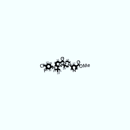 COC(=O)c1cncc(N2CCN(C(=O)c3ccc4c(n3)C(C)(C)CN4c3ccc(Cl)c(F)c3)C(C)(C)C2)c1